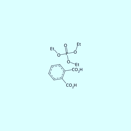 CCOP(=O)(OCC)OCC.O=C(O)c1ccccc1C(=O)O